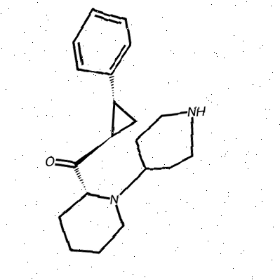 O=C([C@H]1CCCCN1C1CCNCC1)[C@@H]1C[C@H]1c1ccccc1